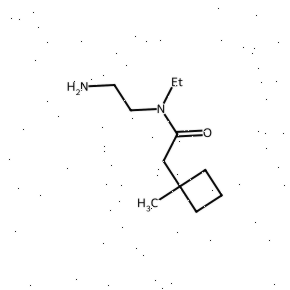 CCN(CCN)C(=O)CC1(C)CCC1